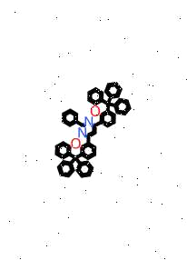 c1ccc(-c2nc(-c3cccc4c3Oc3ccccc3C4(c3ccccc3)c3ccccc3)cc(-c3cccc4c3Oc3ccccc3C4(c3ccccc3)c3ccccc3)n2)cc1